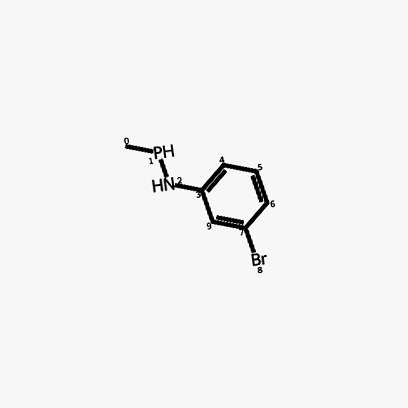 CPNc1cccc(Br)c1